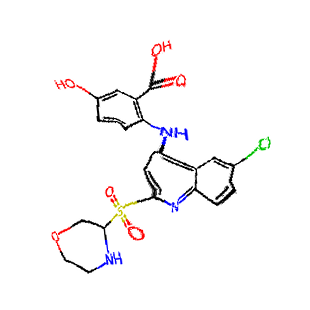 O=C(O)c1cc(O)ccc1Nc1cc(S(=O)(=O)C2COCCN2)nc2ccc(Cl)cc12